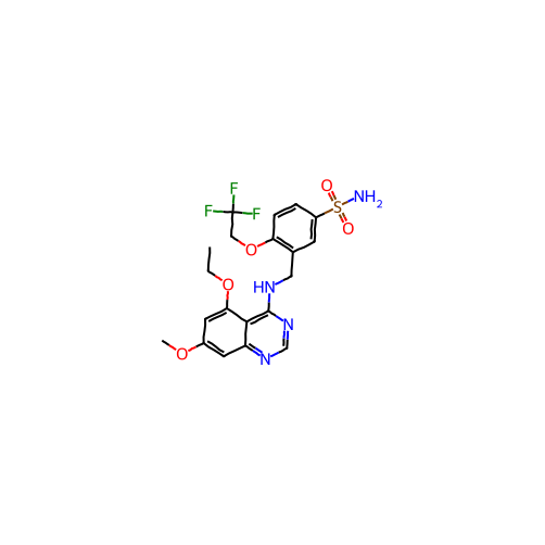 CCOc1cc(OC)cc2ncnc(NCc3cc(S(N)(=O)=O)ccc3OCC(F)(F)F)c12